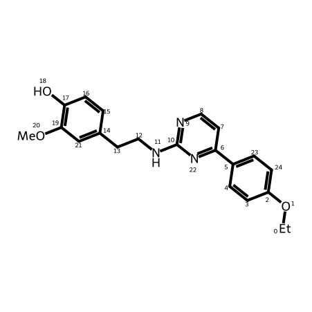 CCOc1ccc(-c2ccnc(NCCc3ccc(O)c(OC)c3)n2)cc1